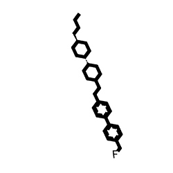 CCCC[C@H]1CC[C@H](C2CCC(CCc3ccc(-c4ccc(CF)cc4)cc3)CC2)CC1